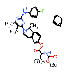 Cc1nc(Nc2ccc(F)cc2)nc(N2CCc3cc(OC(=O)C(CC(=O)O)NC(=O)OC(C)(C)C)ccc3C2C)c1C.c1ccc2c(c1)C2